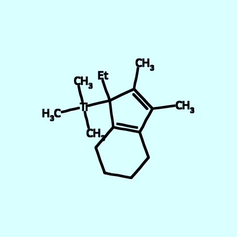 CC[C]1([Ti]([CH3])([CH3])[CH3])C(C)=C(C)C2=C1CCCC2